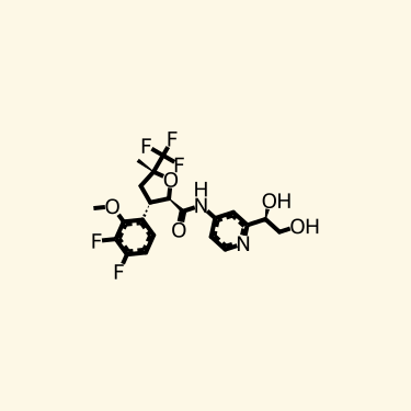 COc1c([C@@H]2C[C@](C)(C(F)(F)F)O[C@H]2C(=O)Nc2ccnc([C@@H](O)CO)c2)ccc(F)c1F